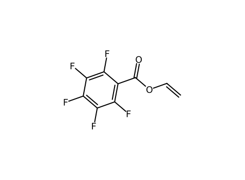 C=COC(=O)c1c(F)c(F)c(F)c(F)c1F